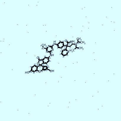 COc1nc(Nc2ccc(C(CCN(C(C)C)C(C)C)(C(N)=O)c3ccccn3)cc2)nc(Nc2ccc3c(c2)C(=O)OC32c3ccc(O)cc3Oc3cc(O)ccc32)n1